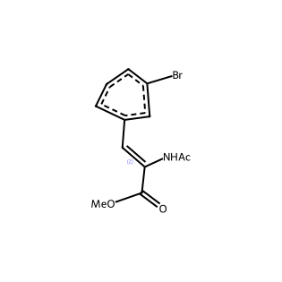 COC(=O)/C(=C/c1cccc(Br)c1)NC(C)=O